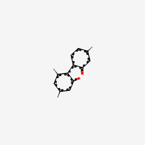 Fc1cc(Br)c2c(c1)oc1cc(Cl)ccc12